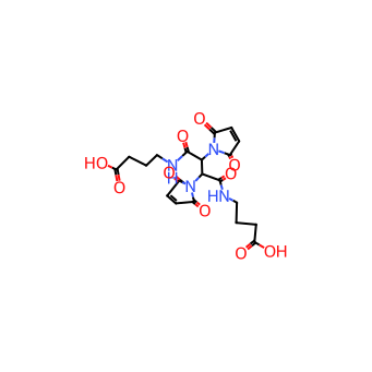 O=C(O)CCCNC(=O)C(C(C(=O)NCCCC(=O)O)N1C(=O)C=CC1=O)N1C(=O)C=CC1=O